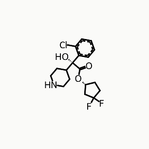 O=C(O[C@@H]1CCC(F)(F)C1)[C@](O)(c1ccccc1Cl)C1CCNCC1